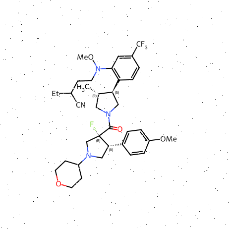 CCC(C#N)CCN(OC)c1cc(C(F)(F)F)ccc1[C@H]1CN(C(=O)[C@]2(F)CN(C3CCOCC3)C[C@H]2c2ccc(OC)cc2)C[C@@H]1C